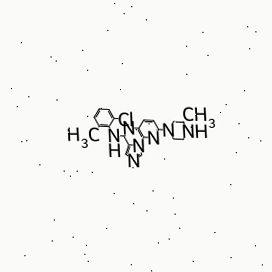 Cc1cccc(Cl)c1Nc1nc2ccc(N3CCN[C@H](C)C3)nc2n2cncc12